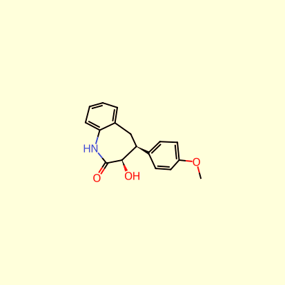 COc1ccc([C@@H]2Cc3ccccc3NC(=O)[C@@H]2O)cc1